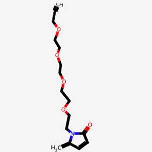 C#CCOCCOCCOCCOCCN1C(=C)C=CC1=O